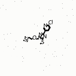 CSc1nc(-c2ccc(Cl)nc2)nn1COCC[Si](C)(C)C